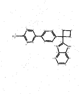 Nc1ncc(-c2ccc(C3(c4nc5ncccc5[nH]4)CCC3)cc2)cn1